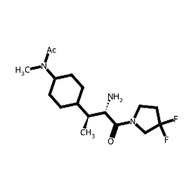 CC(=O)N(C)C1CCC([C@H](C)[C@H](N)C(=O)N2CCC(F)(F)C2)CC1